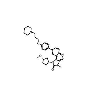 CO[C@H]1CC[C@H](n2c(=O)n(C)c3cnc4ccc(-c5ccc(OCCCN6CCCCC6)nc5)cc4c32)C1